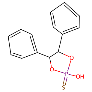 OP1(=S)OC(c2ccccc2)C(c2ccccc2)O1